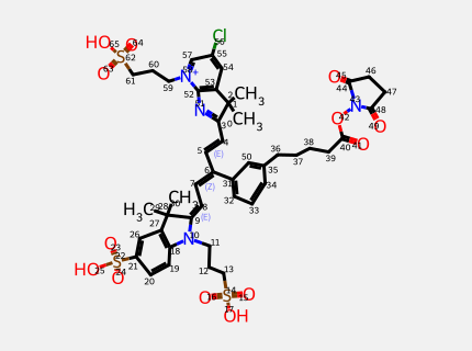 CC1(C)C(/C=C/C(=C/C=C2/N(CCCS(=O)(=O)O)c3ccc(S(=O)(=O)O)cc3C2(C)C)c2cccc(CCCCC(=O)ON3C(=O)CCC3=O)c2)=Nc2c1cc(Cl)c[n+]2CCCS(=O)(=O)O